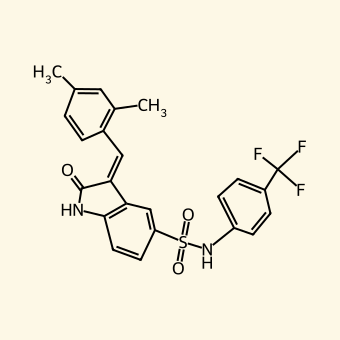 Cc1ccc(C=C2C(=O)Nc3ccc(S(=O)(=O)Nc4ccc(C(F)(F)F)cc4)cc32)c(C)c1